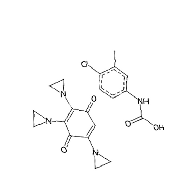 Cc1cc(NC(=O)O)ccc1Cl.O=C1C=C(N2CC2)C(=O)C(N2CC2)=C1N1CC1